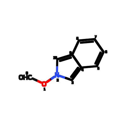 O=COn1cc2ccccc2c1